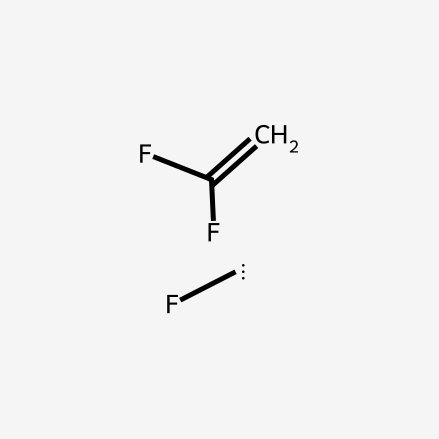 C=C(F)F.[C]F